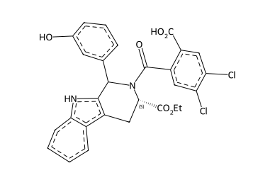 CCOC(=O)[C@@H]1Cc2c([nH]c3ccccc23)C(c2cccc(O)c2)N1C(=O)c1cc(Cl)c(Cl)cc1C(=O)O